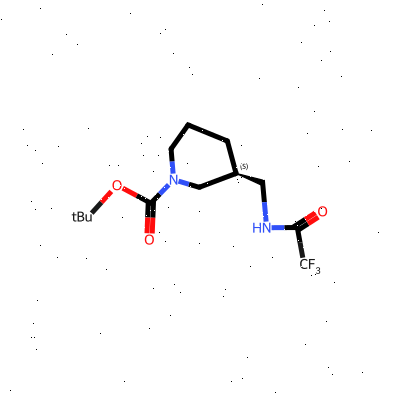 CC(C)(C)OC(=O)N1CCC[C@@H](CNC(=O)C(F)(F)F)C1